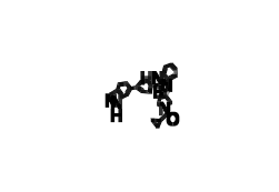 O=C(C1CC1)N1CC[C@H](CN2c3ccccc3NC2(Br)c2ccc(-c3ccc4cn[nH]c4c3)cc2)C1